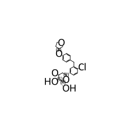 O=C1C[C@H](c2ccc(Cl)c(Cc3ccc(O[C@H]4CCOC4)cc3)c2)O[C@H](CO)[C@@H]1O